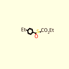 CCOC(=O)CSC(=O)c1ccc(CC)cc1